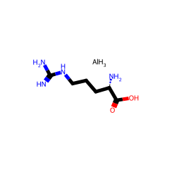 N=C(N)NCCC[C@H](N)C(=O)O.[AlH3]